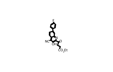 CCOC(=O)CCC(=O)c1nc2cc(-c3ccc(F)cc3)ccc2c(C#N)c1O